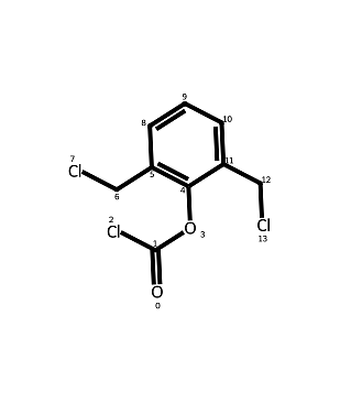 O=C(Cl)Oc1c(CCl)cccc1CCl